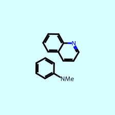 CNc1ccccc1.c1ccc2ncccc2c1